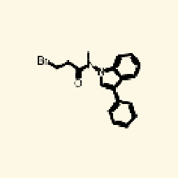 O=C(CCBr)Nn1cc(-c2ccccc2)c2ccccc21